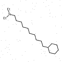 CCN(CC)CCCCCCCCCCC1CCCCC1